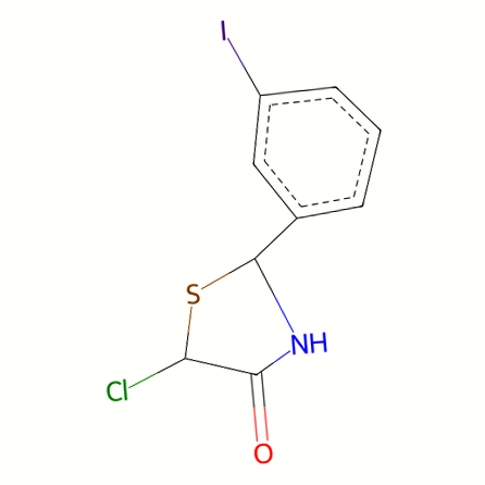 O=C1NC(c2cccc(I)c2)SC1Cl